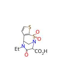 CCN1C(=O)C(C(=O)O)N2CC1c1ccsc1S2(=O)=O